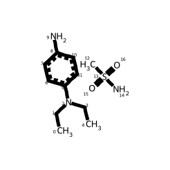 CCN(CC)c1ccc(N)cc1.CS(N)(=O)=O